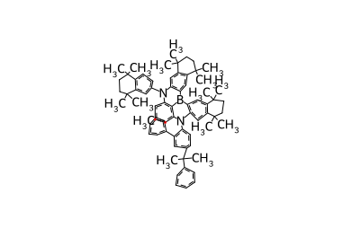 Cc1cc2c3c(c1)N(c1ccc(C(C)(C)c4ccccc4)cc1-c1ccccc1)c1cc4c(cc1B3c1cc3c(cc1N2c1ccc2c(c1)C(C)(C)CCC2(C)C)C(C)(C)CCC3(C)C)C(C)(C)CCC4(C)C